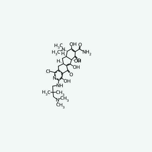 CN(C)CC(C)(C)CNc1nc(Cl)c2c(c1O)C(=O)C1=C(O)[C@]3(O)C(=O)C(C(N)=O)=C(O)[C@@H](N(C)C)[C@@H]3C[C@@H]1C2